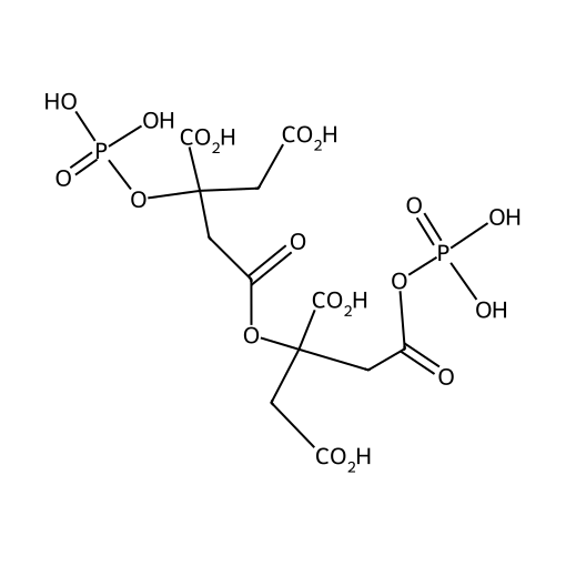 O=C(O)CC(CC(=O)OP(=O)(O)O)(OC(=O)CC(CC(=O)O)(OP(=O)(O)O)C(=O)O)C(=O)O